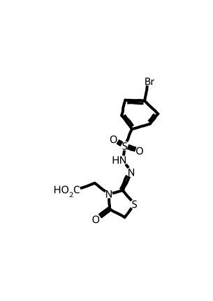 O=C(O)CN1C(=O)CSC1=NNS(=O)(=O)c1ccc(Br)cc1